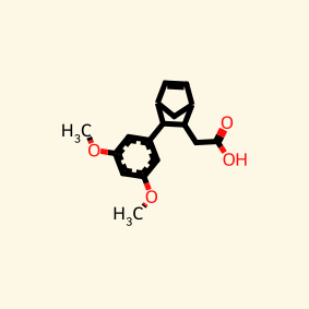 COc1cc(OC)cc(C2C3C=CC(C3)C2CC(=O)O)c1